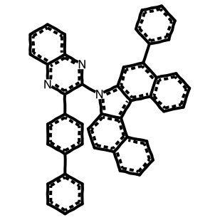 c1ccc(-c2ccc(-c3nc4ccccc4nc3-n3c4ccc5ccccc5c4c4c5ccccc5c(-c5ccccc5)cc43)cc2)cc1